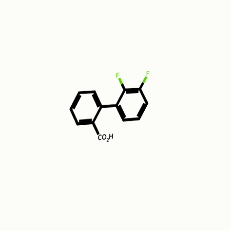 O=C(O)c1ccccc1-c1cccc(F)c1F